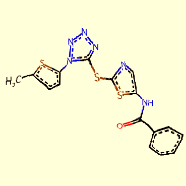 Cc1ccc(-n2nnnc2Sc2ncc(NC(=O)c3ccccc3)s2)s1